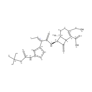 C/C=C(/C(=O)N[C@@H]1C(=O)N2C(C(=O)O)=C(CO)CS[C@H]12)c1csc(NC(=O)OC(C)(C)C)n1